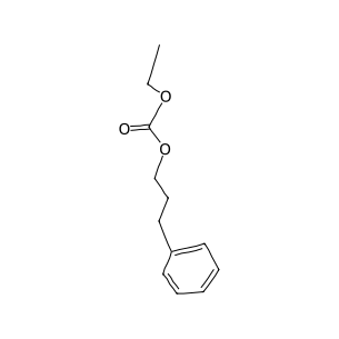 CCOC(=O)OCCCc1ccccc1